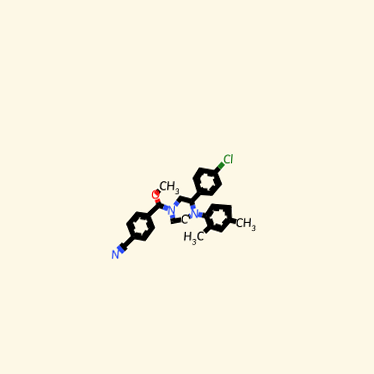 COC(c1ccc(C#N)cc1)N1CCN(c2ccc(C)cc2C)C(c2ccc(Cl)cc2)C1